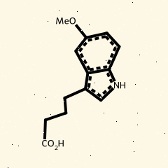 COc1ccc2[nH]cc(CCCC(=O)O)c2c1